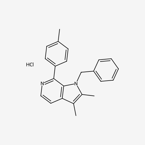 Cc1ccc(-c2nccc3c(C)c(C)n(Cc4ccccc4)c23)cc1.Cl